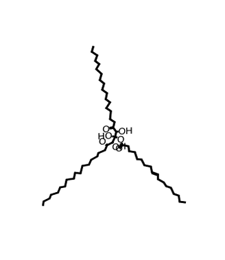 CCCCCCCCC=CCCCCCCCC(=O)OC(O)(C(O)C(=O)CCCCCCCCCCCCCCCCC)C(O)C(=O)CCCCCCCCCCCCCCCCC